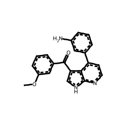 COc1cccc(C(=O)c2c[nH]c3nccc(-c4cccc(N)c4)c23)c1